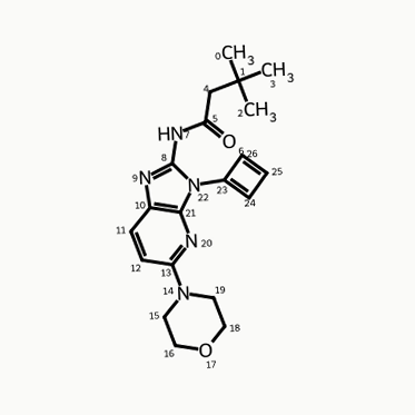 CC(C)(C)CC(=O)Nc1nc2ccc(N3CCOCC3)nc2n1C1=CC=C1